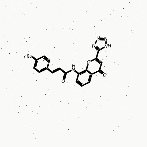 CCCCc1ccc(/C=C/C(=O)Nc2cccc3c(=O)cc(-c4nnn[nH]4)oc23)cc1